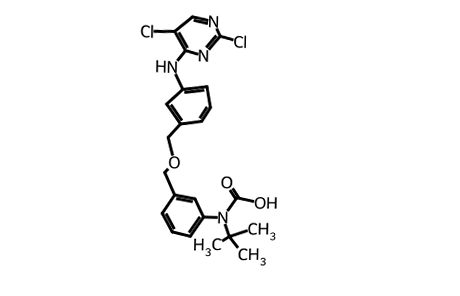 CC(C)(C)N(C(=O)O)c1cccc(COCc2cccc(Nc3nc(Cl)ncc3Cl)c2)c1